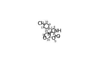 COC(=O)c1[nH]cc(-c2ccc(Cl)cc2)c1N1CCOCC1